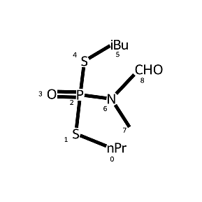 CCCSP(=O)(SC(C)CC)N(C)C=O